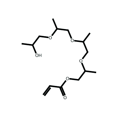 C=CC(=O)OCC(C)OCC(C)OCC(C)OCC(C)O